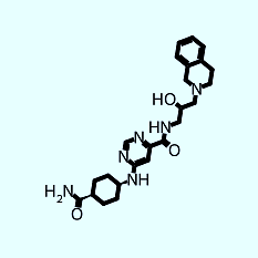 NC(=O)[C@H]1CC[C@@H](Nc2cc(C(=O)NCC(O)CN3CCc4ccccc4C3)ncn2)CC1